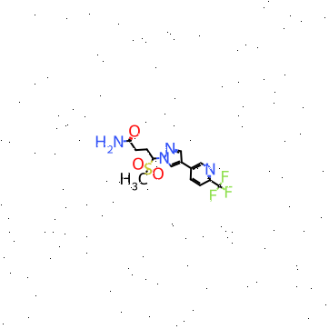 CS(=O)(=O)C(CCC(N)=O)n1cc(-c2ccc(C(F)(F)F)nc2)cn1